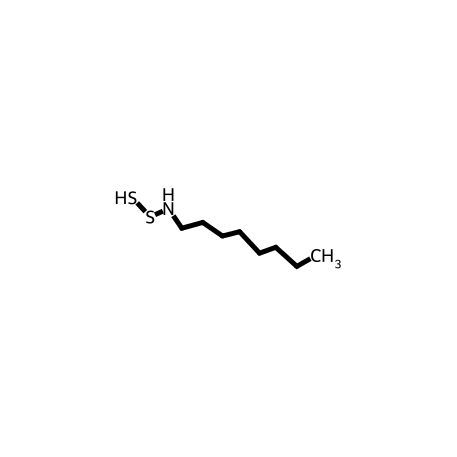 CCCCCCCCNSS